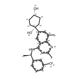 Cc1nc(N[C@H](C)c2cccc(C(F)(F)F)c2)c2cc([C@]3(O)CC[C@@H](O)CC3)cc(C)c2n1